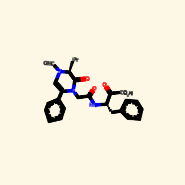 CC(C)[C@H]1C(=O)N(CC(=O)N[C@@H](Cc2ccccc2)C(=O)C(=O)O)C(c2ccccc2)=CN1C=O